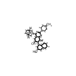 CN1CCN(c2nc(N3C[C@H]4CC[C@@H](C3)N4)c3cc(Cl)c(-c4cc(O)cc5ccccc45)c(F)c3n2)CC1